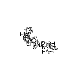 COc1cccc(C(CO)NC(=O)CN2Cc3ccc(-c4nc(NC5CCOCC5)ncc4Cl)cc3C2=O)c1F